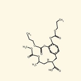 CCCOC(=O)Oc1ccc(C[C@H](NCC(C)OC(=O)OC)C(=O)O)cc1OC(=O)OCCC